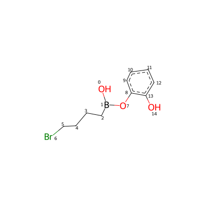 OB(CCCCBr)Oc1ccccc1O